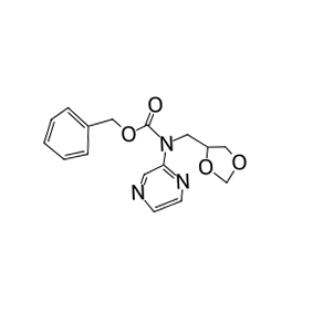 O=C(OCc1ccccc1)N(CC1COCO1)c1cnccn1